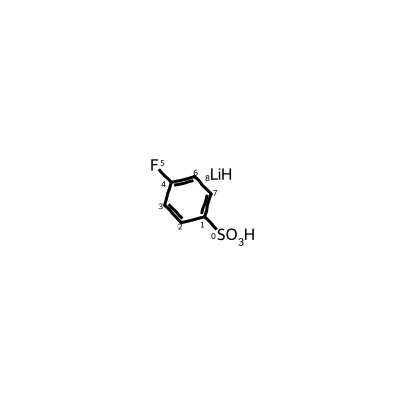 O=S(=O)(O)c1ccc(F)cc1.[LiH]